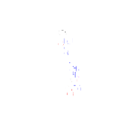 O=C1NC(=O)/C(=C\c2ncnc(N3CC4CN(C(=O)Nc5ccccc5)CC4C3)n2)S1